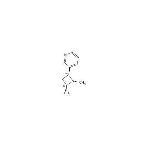 C[C@H]1C[C@@H](c2cccnc2)N1C